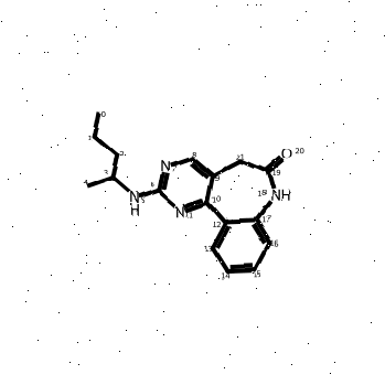 CCCC(C)Nc1ncc2c(n1)-c1ccccc1NC(=O)C2